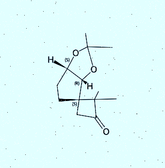 CC1(C)O[C@H]2CC[C@@]3(CC(=O)C3(C)C)[C@H]2O1